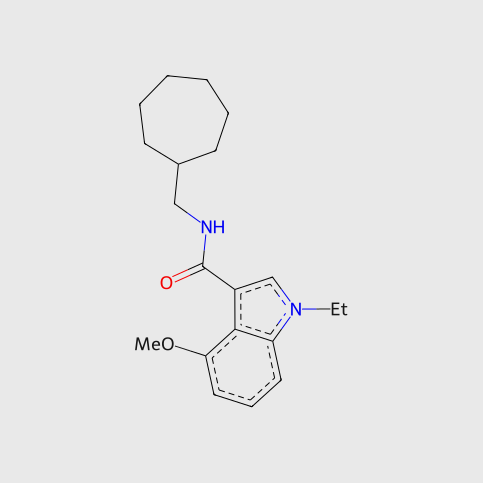 CCn1cc(C(=O)NCC2CCCCCC2)c2c(OC)cccc21